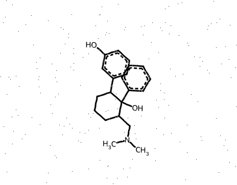 CN(C)CC1CCCC(c2cccc(O)c2)C1(O)c1ccccc1